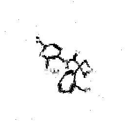 COc1nc(Cl)ccc1NC(=O)C1(c2ccccc2C(C)C)COC1